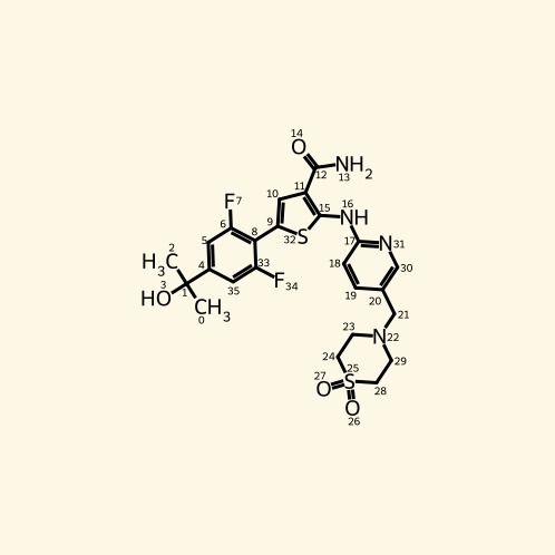 CC(C)(O)c1cc(F)c(-c2cc(C(N)=O)c(Nc3ccc(CN4CCS(=O)(=O)CC4)cn3)s2)c(F)c1